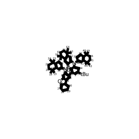 CC(C)(C)c1cc(-c2cc3c(cc2Nc2ccc4c(c2)C(C)(C)CCC4(C)C)oc2ccccc23)c2c(c1)N(c1ccc3c(c1)C(C)(C)CCC3(C)C)c1cc3c(cc1B2)C(C)(C)CCC3(C)C